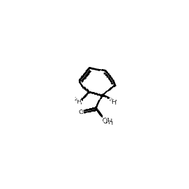 [2H]C1C=CC=CC1([2H])C(=O)O